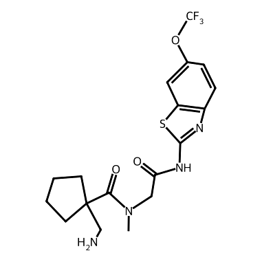 CN(CC(=O)Nc1nc2ccc(OC(F)(F)F)cc2s1)C(=O)C1(CN)CCCC1